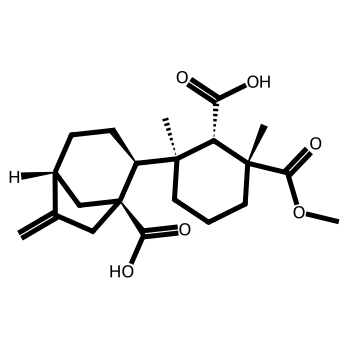 C=C1C[C@]2(C(=O)O)C[C@H]1CC[C@H]2[C@]1(C)CCC[C@@](C)(C(=O)OC)[C@H]1C(=O)O